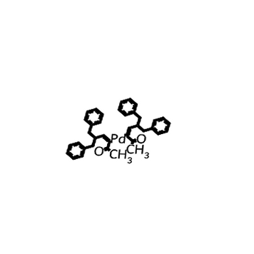 CC(=O)[C](=CC(Cc1ccccc1)Cc1ccccc1)[Pd][C](=CC(Cc1ccccc1)Cc1ccccc1)C(C)=O